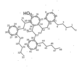 CCCCCc1ccccc1CC(C)c1ccc(O)c(C(C)Cc2ccccc2CCCCC)c1C(C)Cc1ccccc1CCCCC